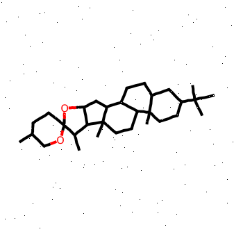 CC1CCC2(OC1)OC1CC3C4CCC5CC(C(C)(C)C)CCC5(C)C4CCC3(C)C1C2C